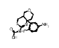 Nc1ccc(F)c(C23CCOCC2CSC(NC(=O)O)=N3)c1